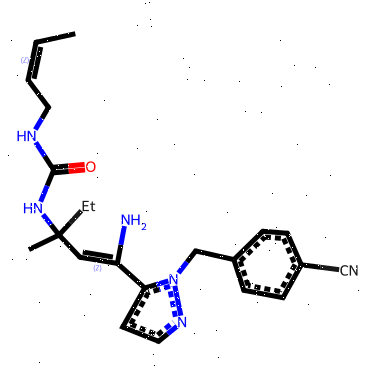 C/C=C\CNC(=O)NC(C)(/C=C(\N)c1ccnn1Cc1ccc(C#N)cc1)CC